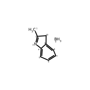 B.CC1=Nc2ccccc2C1